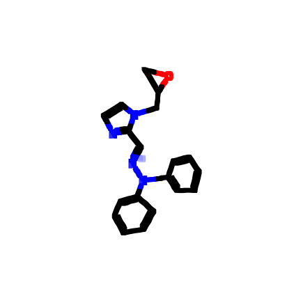 C(=N\N(c1ccccc1)c1ccccc1)/c1nccn1CC1CO1